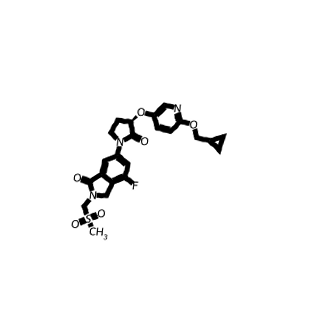 CS(=O)(=O)CN1Cc2c(F)cc(N3CC[C@@H](Oc4ccc(OCC5CC5)nc4)C3=O)cc2C1=O